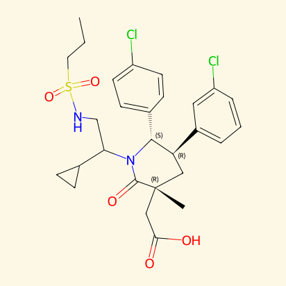 CCCS(=O)(=O)NCC(C1CC1)N1C(=O)[C@@](C)(CC(=O)O)C[C@H](c2cccc(Cl)c2)[C@H]1c1ccc(Cl)cc1